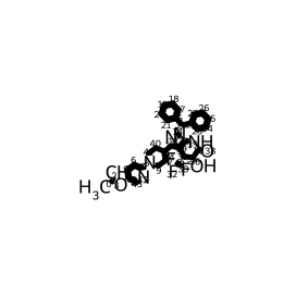 CC(C)Oc1ccc(N2CCC(c3nn(C(c4ccccc4)c4ccccc4)c4c3[C@@H](C(F)(F)F)[C@@H](O)C(=O)N4)CC2)nc1